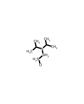 CC(C)N([SiH2][SiH2]Cl)C(C)C